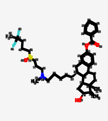 C=C1[C@H](O)CC2C3C(CC[C@]12C)c1ccc(OC(=O)c2ccccc2)cc1C[C@H]3CCCCCN(C)CCC[S+]([O-])CCCC(F)(F)C(F)(F)F